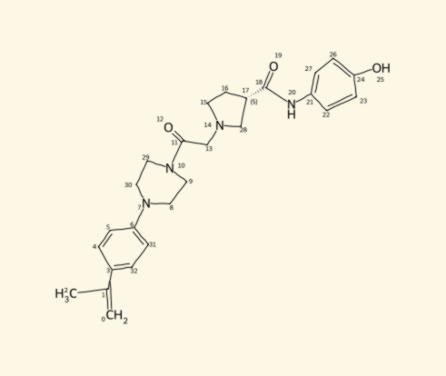 C=C(C)c1ccc(N2CCN(C(=O)CN3CC[C@H](C(=O)Nc4ccc(O)cc4)C3)CC2)cc1